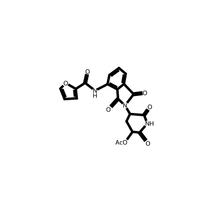 CC(=O)OC1CC(N2C(=O)c3cccc(NC(=O)c4ccco4)c3C2=O)C(=O)NC1=O